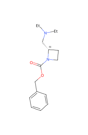 CCN(CC)C[C@@H]1CCN1C(=O)OCc1ccccc1